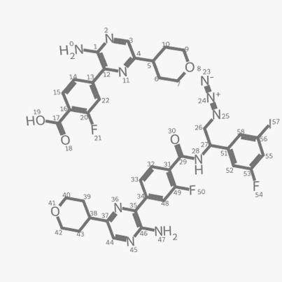 Nc1ncc(C2CCOCC2)nc1-c1ccc(C(=O)O)c(F)c1.[N-]=[N+]=NCC(NC(=O)c1ccc(-c2nc(C3CCOCC3)cnc2N)cc1F)c1cc(F)cc(I)c1